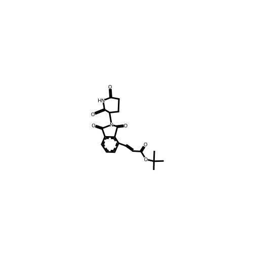 CC(C)(C)OC(=O)/C=C/c1cccc2c1C(=O)N(C1CCC(=O)NC1=O)C2=O